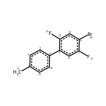 Cc1ccc(-c2cc(F)c(Br)cc2F)cc1